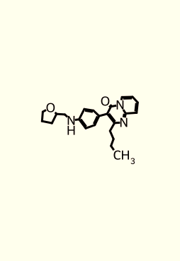 CCCCc1nc2ccccn2c(=O)c1-c1ccc(NCC2CCCO2)cc1